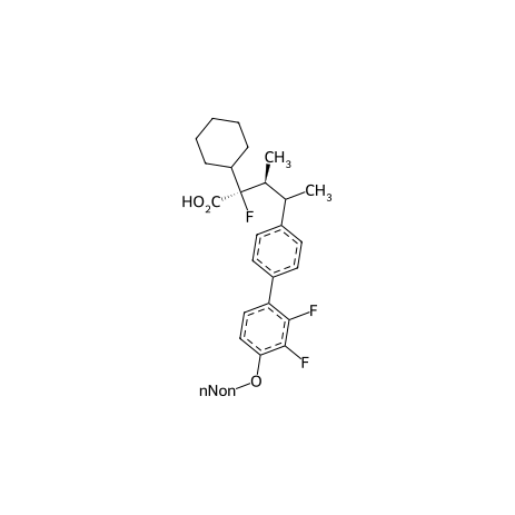 CCCCCCCCCOc1ccc(-c2ccc(C(C)[C@H](C)[C@](F)(C(=O)O)C3CCCCC3)cc2)c(F)c1F